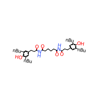 CCCCc1cc(CCC(=O)NC(=O)CCCCC(=O)NC(=O)CCc2cc(CCCC)c(O)c(CCCC)c2)cc(CCCC)c1O